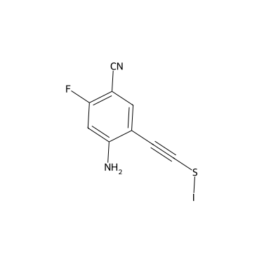 N#Cc1cc(C#CSI)c(N)cc1F